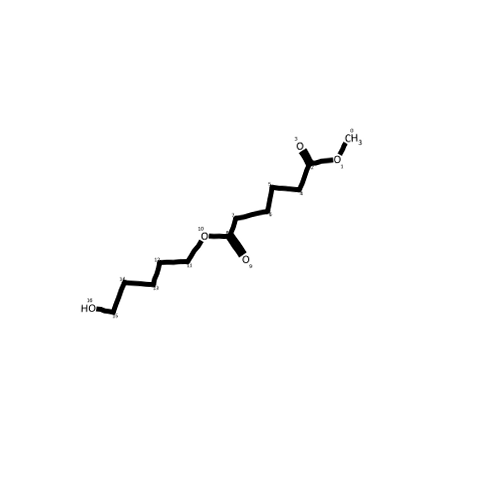 COC(=O)CCCCC(=O)OCCCCCO